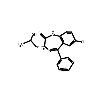 CC(S)C[C@H]1N=C(c2ccccc2)c2cc(Cl)ccc2NC1=S